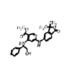 COC(=O)c1cnc(Nc2ccc3c(c2)C(C)(C)OC3=O)cc1NC(CO)c1ccccc1